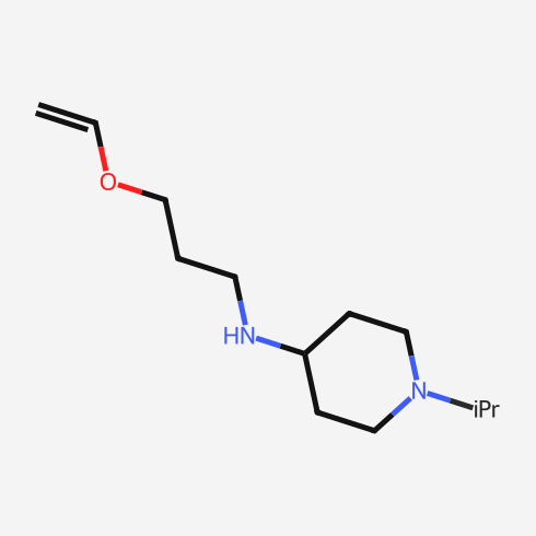 C=COCCCNC1CCN(C(C)C)CC1